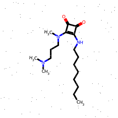 CCCCCCCCNc1c(N(C)CCCN(C)C)c(=O)c1=O